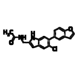 CC(=O)NCc1cc2cc(Cl)c(-c3ccc4occc4c3)cc2[nH]1